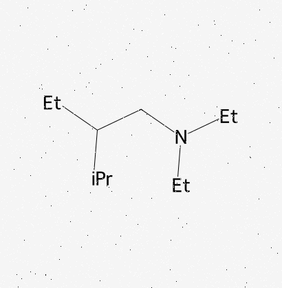 CCC(CN(CC)CC)C(C)C